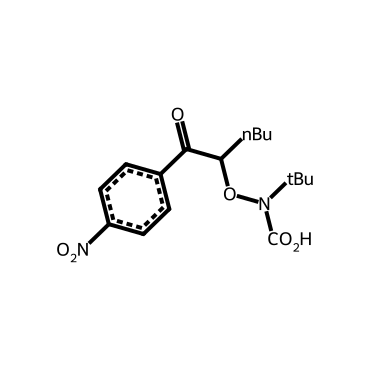 CCCCC(ON(C(=O)O)C(C)(C)C)C(=O)c1ccc([N+](=O)[O-])cc1